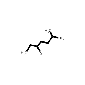 CCC([S])CCC(C)C